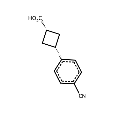 N#Cc1ccc([C@H]2C[C@@H](C(=O)O)C2)cc1